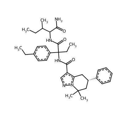 CCc1ccc(C(CC)(NC(=O)c2cnn3c2C[C@H](c2ccccc2)CC3(C)C)C(=O)NC(C(N)=O)C(C)CC)cc1